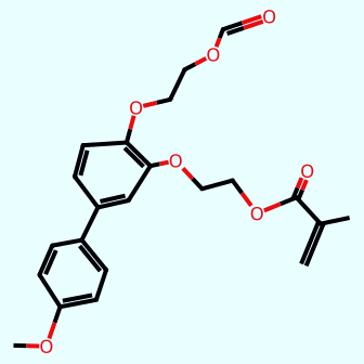 C=C(C)C(=O)OCCOc1cc(-c2ccc(OC)cc2)ccc1OCCOC=O